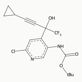 CC(C)(C)OC(=O)Nc1cnc(Cl)cc1C(O)(C#CC1CC1)C(F)(F)F